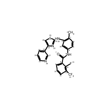 Cc1ccc(NC(=O)c2cccc(C(F)(F)F)c2F)cc1Nc1nc(-c2cccnc2)cs1